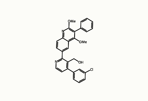 COc1nc2ccc(-c3nccc(-c4cccc(Cl)c4)c3CO)cc2c(OC)c1-c1ccccc1